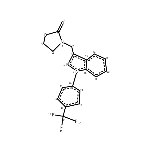 O=C1OCCN1Cc1nn(-c2ccc(C(F)(F)F)cc2)c2ccccc12